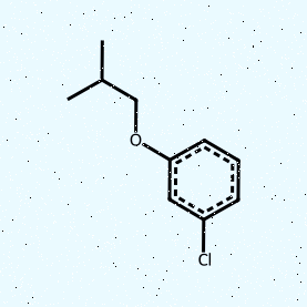 CC(C)COc1cccc(Cl)c1